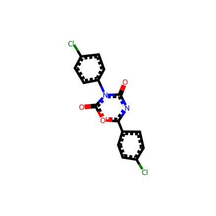 O=c1nc(-c2ccc(Cl)cc2)oc(=O)n1-c1ccc(Cl)cc1